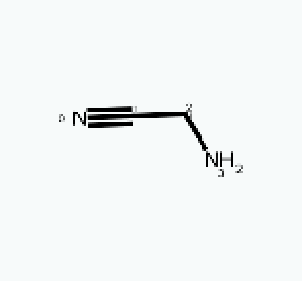 N#C[C]N